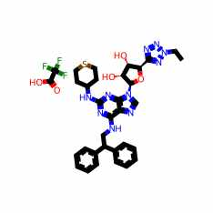 CCn1nnc([C@H]2O[C@@H](n3cnc4c(NCC(c5ccccc5)c5ccccc5)nc(NC5CCSCC5)nc43)[C@H](O)[C@@H]2O)n1.O=C(O)C(F)(F)F